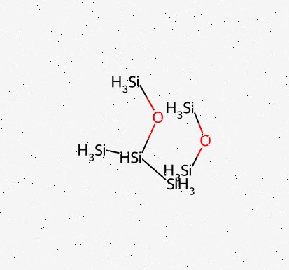 [SiH3]O[SiH3].[SiH3]O[SiH]([SiH3])[SiH3]